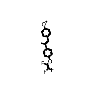 COc1ccc(/C=C(\C)c2ccc(OC(F)=C(F)F)cc2)cc1